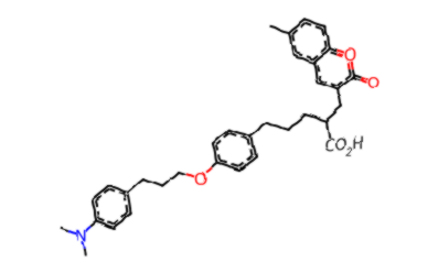 Cc1ccc2oc(=O)c(CC(CCCc3ccc(OCCCc4ccc(N(C)C)cc4)cc3)C(=O)O)cc2c1